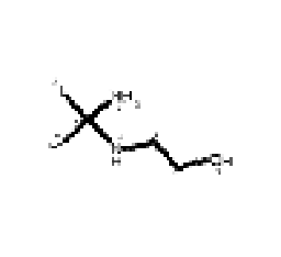 CCC(N)(I)NCCO